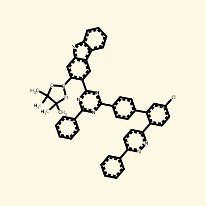 CC1(C)OB(c2cc3sc4ccccc4c3cc2-c2nc(-c3ccccc3)nc(-c3ccc(-c4cc(Cl)ccc4-c4ccc(-c5ccccc5)nn4)cc3)n2)OC1(C)C